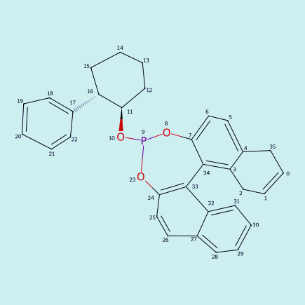 C1=CCc2c(ccc3op(O[C@@H]4CCCC[C@H]4c4ccccc4)oc4ccc5ccccc5c4c23)C1